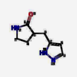 O=C1NCCC1Cc1ccn[nH]1